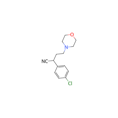 N#CC(CCN1CCOCC1)c1ccc(Cl)cc1